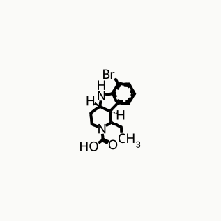 CCC1[C@@H]2c3cccc(Br)c3N[C@H]2CCN1C(=O)O